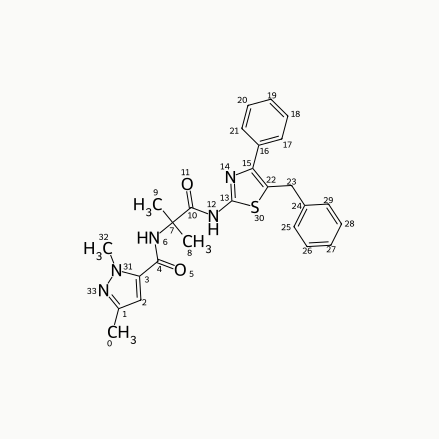 Cc1cc(C(=O)NC(C)(C)C(=O)Nc2nc(-c3ccccc3)c(Cc3ccccc3)s2)n(C)n1